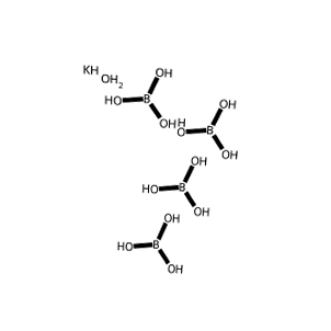 O.OB(O)O.OB(O)O.OB(O)O.OB(O)O.[KH]